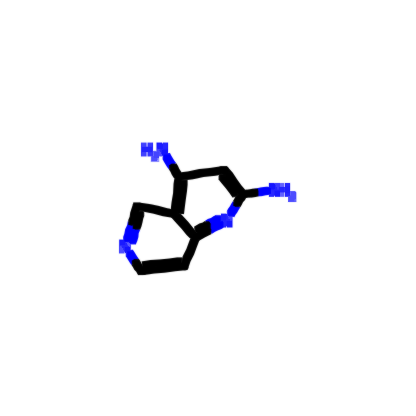 Nc1cc(N)c2cnccc2n1